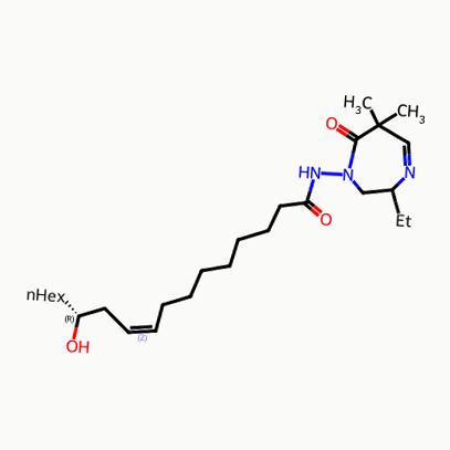 CCCCCC[C@@H](O)C/C=C\CCCCCCCC(=O)NN1CC(CC)N=CC(C)(C)C1=O